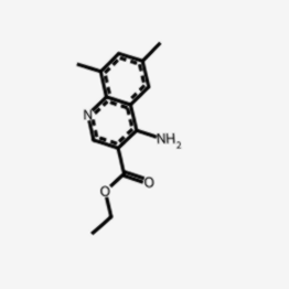 CCOC(=O)c1cnc2c(C)cc(C)cc2c1N